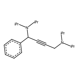 CC(C)N(CC#CC(c1ccccc1)N(C(C)C)C(C)C)C(C)C